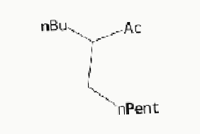 CCCCCCC(CCCC)C(C)=O